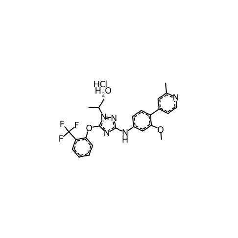 COc1cc(Nc2nc(Oc3ccccc3C(F)(F)F)n(C(C)C)n2)ccc1-c1ccnc(C)c1.Cl.O